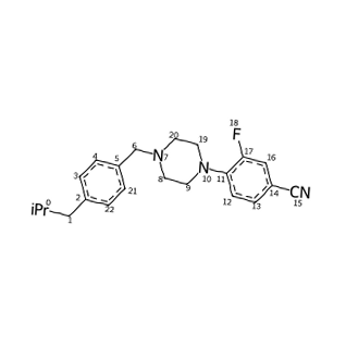 CC(C)Cc1ccc(CN2CCN(c3ccc(C#N)cc3F)CC2)cc1